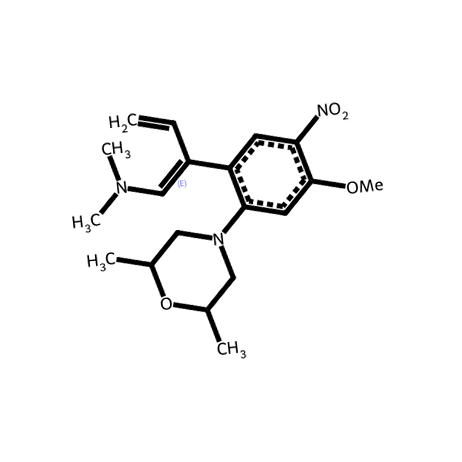 C=C/C(=C\N(C)C)c1cc([N+](=O)[O-])c(OC)cc1N1CC(C)OC(C)C1